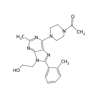 CC(=O)N1CCN(c2nc(C)nc3c2nc(-c2ccccc2C)n3CCO)CC1